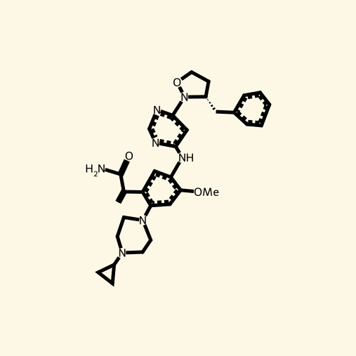 C=C(C(N)=O)c1cc(Nc2cc(N3OCC[C@@H]3Cc3ccccc3)ncn2)c(OC)cc1N1CCN(C2CC2)CC1